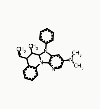 C=CC1c2ccccc2N2c3ncc(N(C)C)cc3N(c3ccccc3)C2C1C